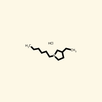 CCCCCCN1CCC(CC)C1.Cl